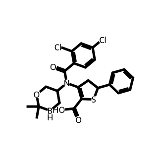 CC1(C)BCC(N(C(=O)c2ccc(Cl)cc2Cl)C2=C(C(=O)O)SC(c3ccccc3)C2)CO1